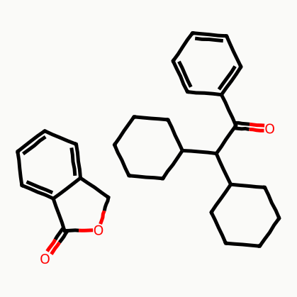 O=C(c1ccccc1)C(C1CCCCC1)C1CCCCC1.O=C1OCc2ccccc21